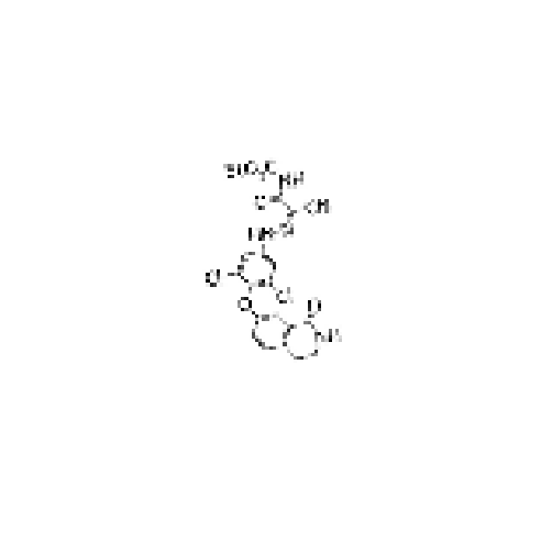 CCOC(=O)NC(=O)C(C#N)=NNc1cc(Cl)c(Oc2ccc3c(c2)C(=O)NCC3)c(Cl)c1